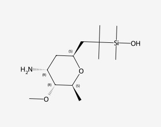 CO[C@@H]1[C@H](N)C[C@@H](CC(C)(C)[Si](C)(C)O)O[C@H]1C